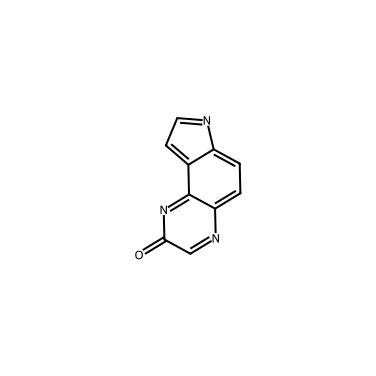 O=C1C=Nc2ccc3c(c2=N1)=CC=N3